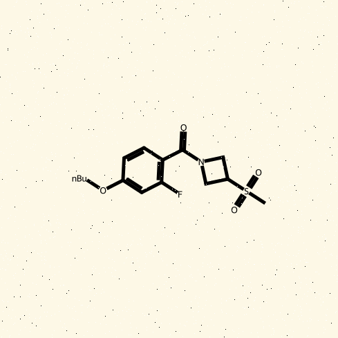 CCCCOc1ccc(C(=O)N2CC(S(C)(=O)=O)C2)c(F)c1